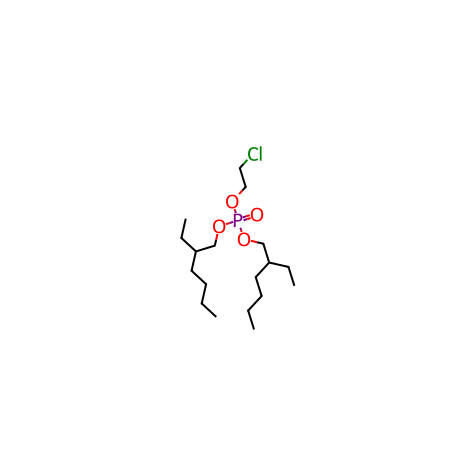 CCCCC(CC)COP(=O)(OCCCl)OCC(CC)CCCC